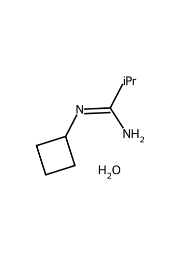 CC(C)C(N)=NC1CCC1.O